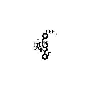 Fc1ccccc1-c1cc2cc[n+](Cc3ccc(OC(F)(F)F)cc3)cc2[nH]1.O=C([O-])C(F)(F)F